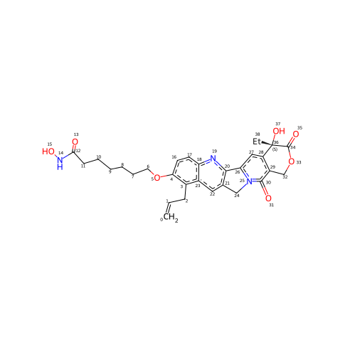 C=CCc1c(OCCCCCCC(=O)NO)ccc2nc3c(cc12)Cn1c-3cc2c(c1=O)COC(=O)[C@]2(O)CC